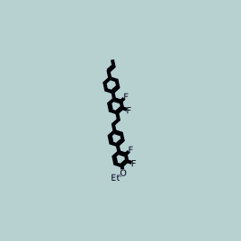 C/C=C/C1CC=C(c2ccc(CCc3ccc(-c4ccc(OCC)c(F)c4F)cc3)c(F)c2F)CC1